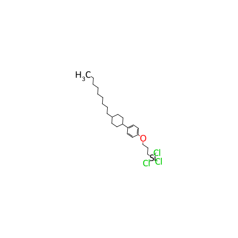 CCCCCCCCCC1CCC(c2ccc(OCCC[Si](Cl)(Cl)Cl)cc2)CC1